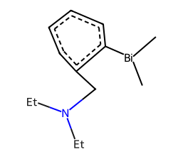 CCN(CC)Cc1cccc[c]1[Bi]([CH3])[CH3]